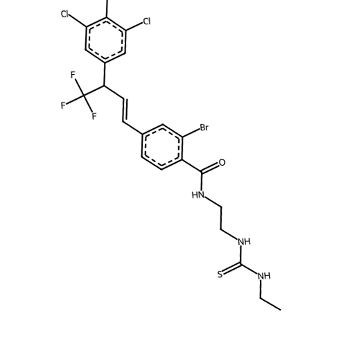 CCNC(=S)NCCNC(=O)c1ccc(/C=C/C(c2cc(Cl)c(F)c(Cl)c2)C(F)(F)F)cc1Br